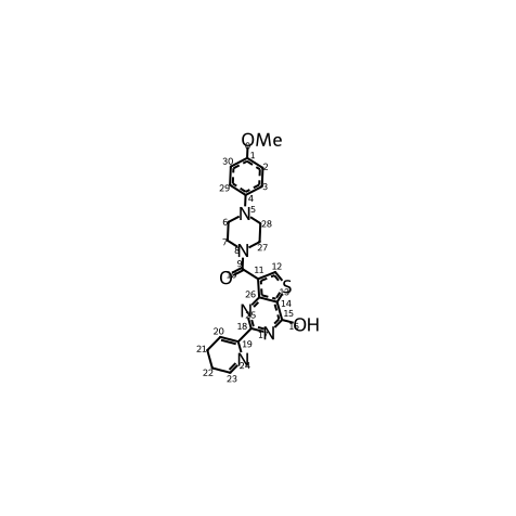 COc1ccc(N2CCN(C(=O)c3csc4c(O)nc(C5=CCCC=N5)nc34)CC2)cc1